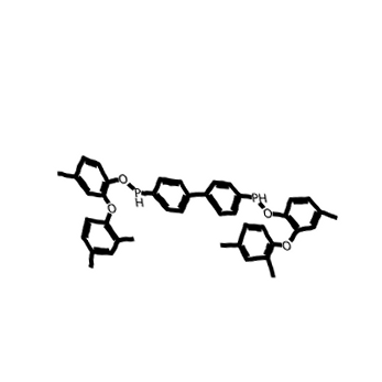 Cc1ccc(Oc2cc(C)ccc2OPc2ccc(-c3ccc(POc4ccc(C)cc4Oc4ccc(C)cc4C)cc3)cc2)c(C)c1